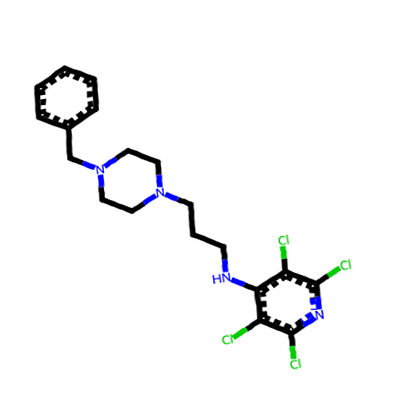 Clc1nc(Cl)c(Cl)c(NCCCN2CCN(Cc3ccccc3)CC2)c1Cl